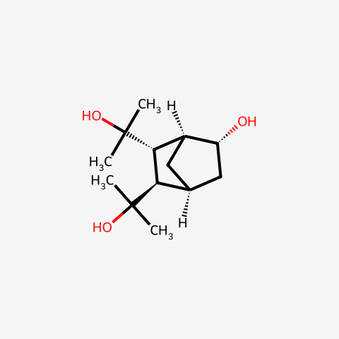 CC(C)(O)[C@@H]1[C@H]2C[C@@H]([C@H]1C(C)(C)O)[C@H](O)C2